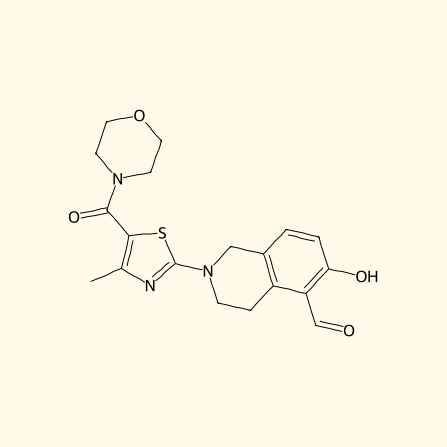 Cc1nc(N2CCc3c(ccc(O)c3C=O)C2)sc1C(=O)N1CCOCC1